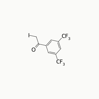 O=C(CI)c1cc(C(F)(F)F)cc(C(F)(F)F)c1